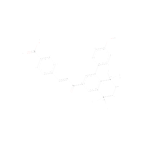 COc1ccc(-c2cc(C(=O)/C=C/c3ccc(C(=O)O)cc3)cc3c2C(C)(C)CCC3(C)C)cc1